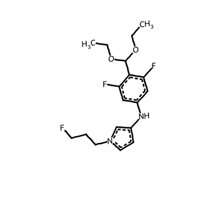 CCOC(OCC)c1c(F)cc(Nc2ccn(CCCF)c2)cc1F